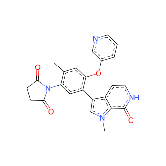 Cc1cc(Oc2cccnc2)c(-c2cn(C)c3c(=O)[nH]ccc23)cc1N1C(=O)CCC1=O